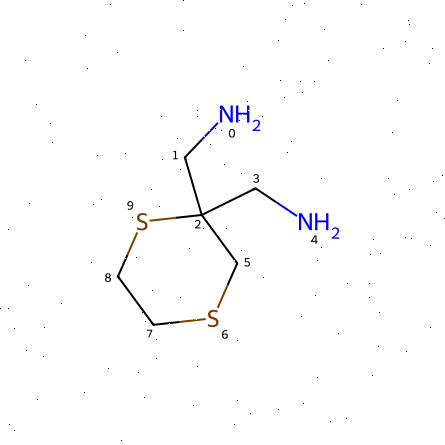 NCC1(CN)CSCCS1